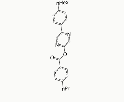 CCCCCCc1ccc(-c2cnc(OC(=O)c3ccc(CCC)cc3)cn2)cc1